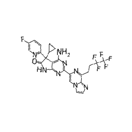 Nc1nc(-c2cn3ccnc3c(CCC(F)(F)C(F)(F)F)n2)nc2c1C(c1ccc(F)cn1)(C1CC1)C(=O)N2